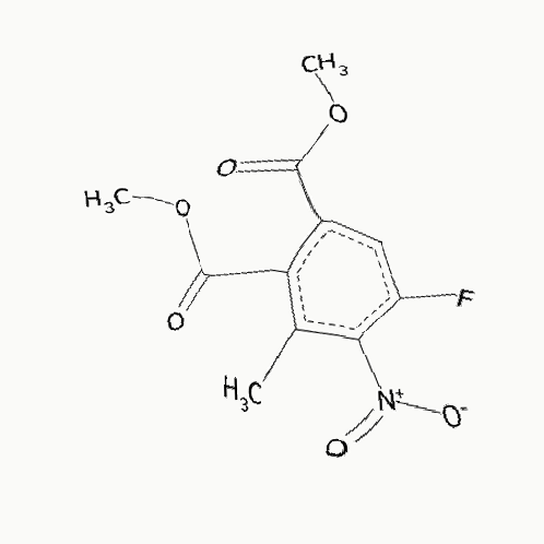 COC(=O)c1cc(F)c([N+](=O)[O-])c(C)c1C(=O)OC